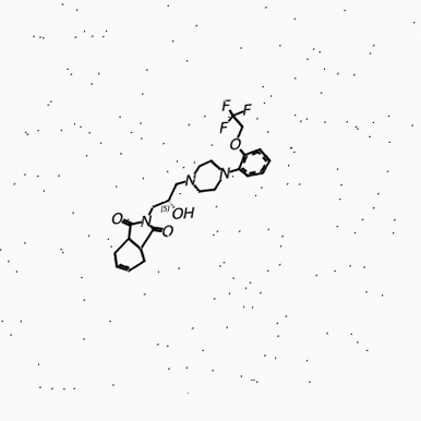 O=C1C2CC=CCC2C(=O)N1C[C@@H](O)CN1CCN(c2ccccc2OCC(F)(F)F)CC1